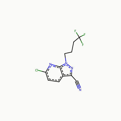 N#Cc1nn(CCCC(F)(F)F)c2nc(Cl)ccc12